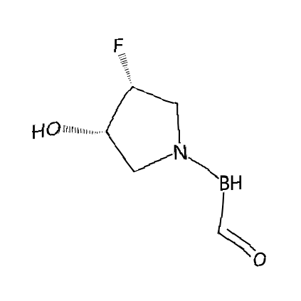 O=CBN1C[C@@H](F)[C@@H](O)C1